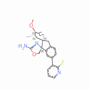 CO[C@H]1CC[C@@]2(Cc3ccc(-c4cccnc4F)cc3[C@@]23COC(N)=N3)C[C@@H]1C